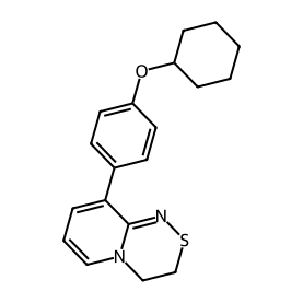 C1=CN2CCSN=C2C(c2ccc(OC3CCCCC3)cc2)=C1